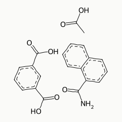 CC(=O)O.NC(=O)c1cccc2ccccc12.O=C(O)c1cccc(C(=O)O)c1